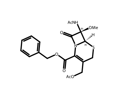 CO[C@]1(NC(C)=O)C(=O)N2C(C(=O)OCc3ccccc3)=C(COC(C)=O)CS[C@@H]21